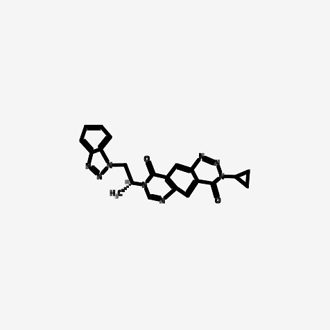 C[C@H](Cn1nnc2ccccc21)n1cnc2cc3c(=O)n(C4CC4)nnc3cc2c1=O